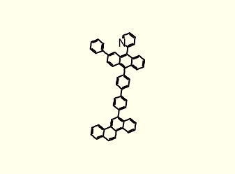 c1ccc(-c2ccc3c(-c4ccc(-c5ccc(-c6cc7c8ccccc8ccc7c7ccccc67)cc5)cc4)c4ccccc4c(-c4ccccn4)c3c2)cc1